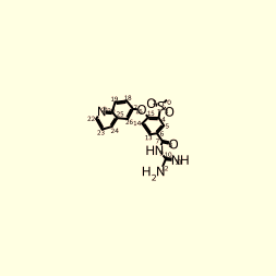 CS(=O)(=O)c1cc(C(=O)NC(=N)N)ccc1Oc1ccc2ncccc2c1